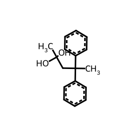 CC(O)(O)CC(C)(c1ccccc1)c1ccccc1